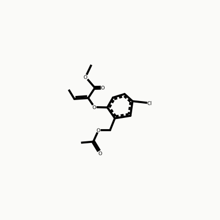 CC=C(Oc1ccc(Cl)cc1COC(C)=O)C(=O)OC